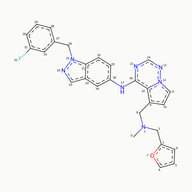 CN(Cc1ccco1)Cc1ccn2ncnc(Nc3ccc4c(cnn4Cc4cccc(F)c4)c3)c12